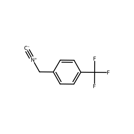 [C-]#[N+]Cc1ccc(C(F)(F)F)cc1